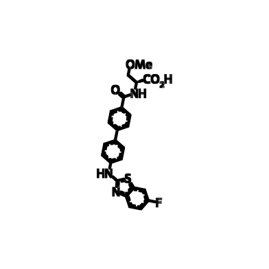 COC[C@H](NC(=O)c1ccc(-c2ccc(Nc3nc4ccc(F)cc4s3)cc2)cc1)C(=O)O